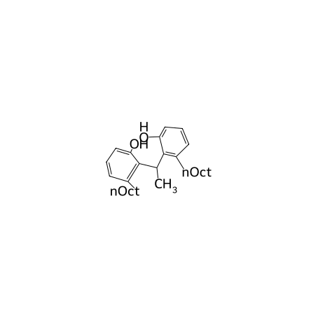 CCCCCCCCc1cccc(O)c1C(C)c1c(O)cccc1CCCCCCCC